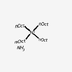 CCCCCCCC[N+](CCCCCCCC)(CCCCCCCC)CCCCCCCC.N